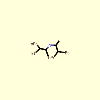 CCCC(CC)C(C)[N]C(C)C(CC)CCC